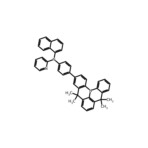 CC1(C)c2ccccc2N2c3ccc(-c4ccc(N(c5ccccn5)c5cccc6ccccc56)cc4)cc3C(C)(C)c3cccc1c32